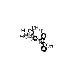 CC(C)CC(NC(=O)O)[C@H]1CCN(c2nc(-c3ccccc3O)nc3ccc(F)cc23)C1